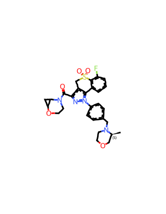 C[C@H]1COCCN1Cc1ccc(-n2nc(C(=O)N3CCOC4CC43)c3c2-c2cccc(F)c2S(=O)(=O)C3)cc1